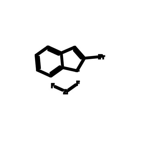 CC(C)C1=Cc2ccccc2[CH]1.[F][Zr][F]